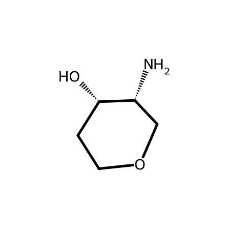 N[C@@H]1COCC[C@@H]1O